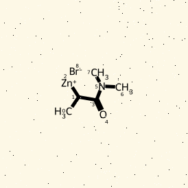 C[CH]([Zn+])C(=O)N(C)C.[Br-]